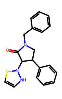 O=C1C(N2NC=CS2)C(c2ccccc2)CN1Cc1ccccc1